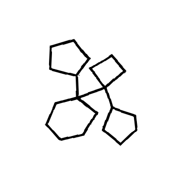 C1CCC([C]2CCCC2)(C2(C3CCCC3)CCC2)CC1